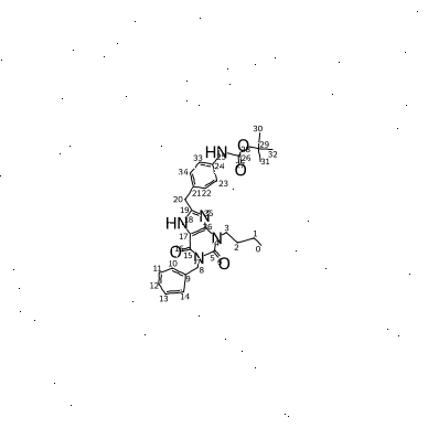 CCCCn1c(=O)n(Cc2ccccc2)c(=O)c2[nH]c(Cc3ccc(NC(=O)OC(C)(C)C)cc3)nc21